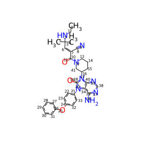 CCNC(C)(C)C=C(C#N)C(=O)N1CCCC(n2c(=O)n(-c3ccc(Oc4ccccc4)cc3)c3c(N)ncnc32)C1